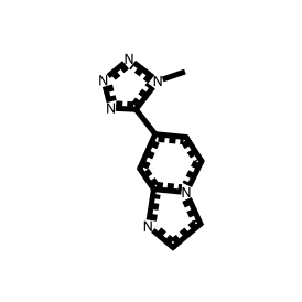 Cn1nnnc1-c1ccn2ccnc2c1